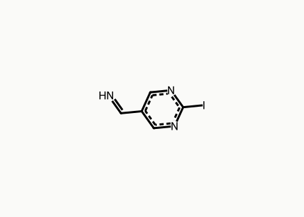 N=Cc1cnc(I)nc1